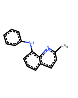 Cc1ccc2cccc(Nc3ccccc3)c2n1